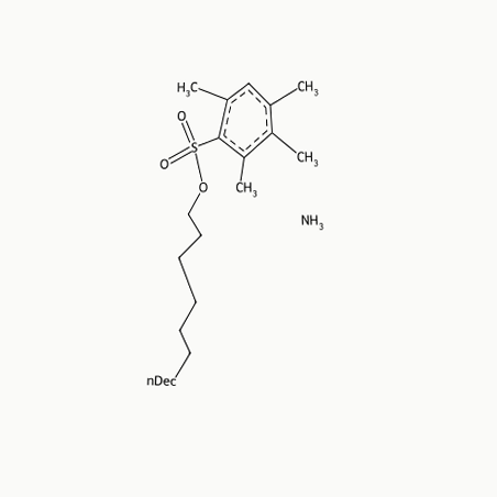 CCCCCCCCCCCCCCCCOS(=O)(=O)c1c(C)cc(C)c(C)c1C.N